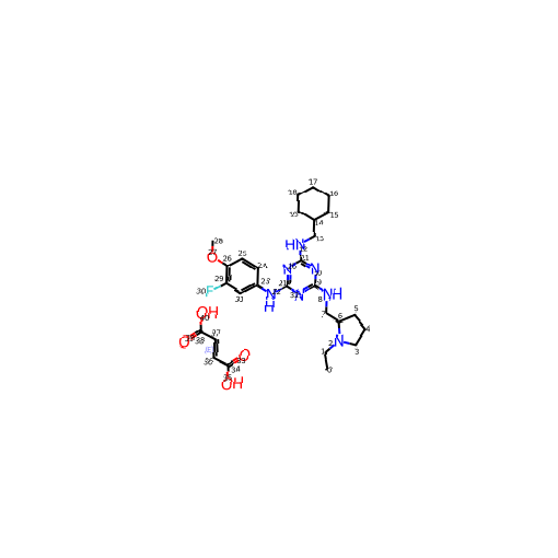 CCN1CCCC1CNc1nc(NCC2CCCCC2)nc(Nc2ccc(OC)c(F)c2)n1.O=C(O)/C=C/C(=O)O